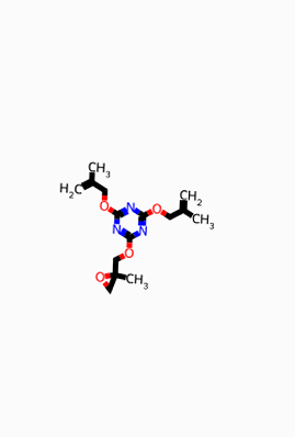 C=C(C)COc1nc(OCC(=C)C)nc(OCC2(C)CO2)n1